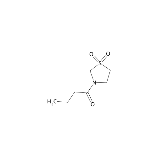 CCCC(=O)N1CCS(=O)(=O)C1